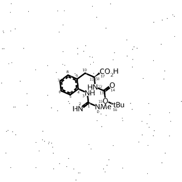 CNC(=N)Nc1ccccc1C[C@H](NC(=O)OC(C)(C)C)C(=O)O